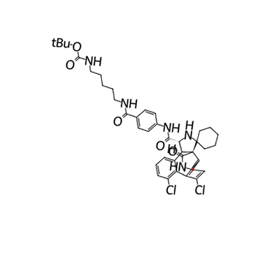 CC(C)(C)OC(=O)NCCCCCNC(=O)c1ccc(NC(=O)[C@@H]2NC3(CCCCC3)[C@]34C(=O)Nc5cc(Cl)c(cc53)-c3c(Cl)cccc3[C@@H]24)cc1